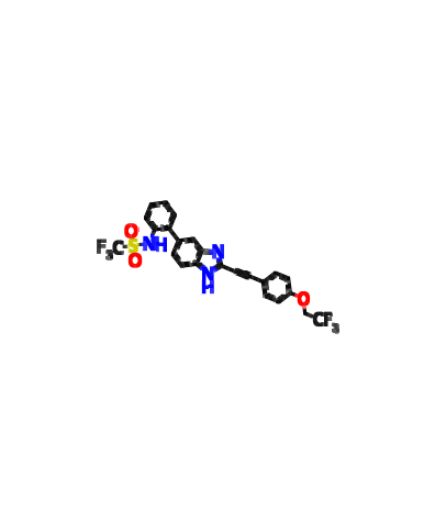 O=S(=O)(Nc1ccccc1-c1ccc2[nH]c(C#Cc3ccc(OCC(F)(F)F)cc3)nc2c1)C(F)(F)F